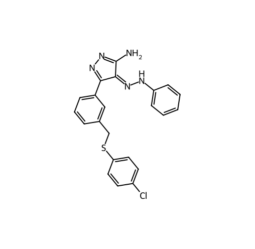 NC1=NN=C(c2cccc(CSc3ccc(Cl)cc3)c2)C1=NNc1ccccc1